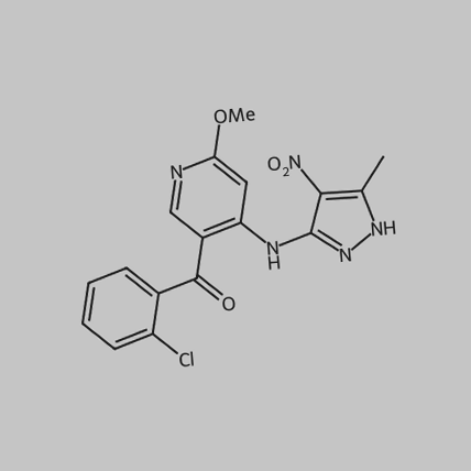 COc1cc(Nc2n[nH]c(C)c2[N+](=O)[O-])c(C(=O)c2ccccc2Cl)cn1